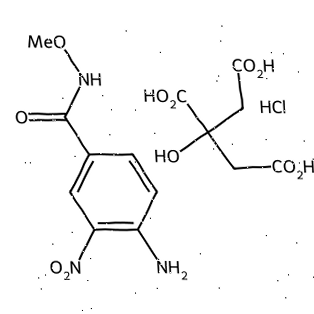 CONC(=O)c1ccc(N)c([N+](=O)[O-])c1.Cl.O=C(O)CC(O)(CC(=O)O)C(=O)O